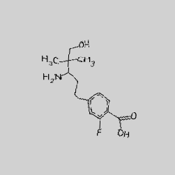 CC(C)(CO)C(N)CCc1ccc(C(=O)O)c(F)c1